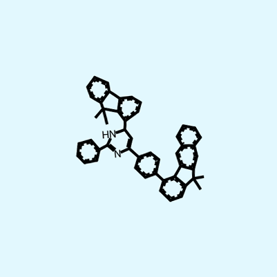 CC1(C)c2cc3ccccc3cc2-c2c(-c3ccc(C4=CC(c5cccc6c5C(C)(C)c5ccccc5-6)NC(c5ccccc5)=N4)cc3)cccc21